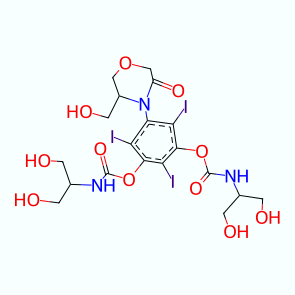 O=C(NC(CO)CO)Oc1c(I)c(OC(=O)NC(CO)CO)c(I)c(N2C(=O)COCC2CO)c1I